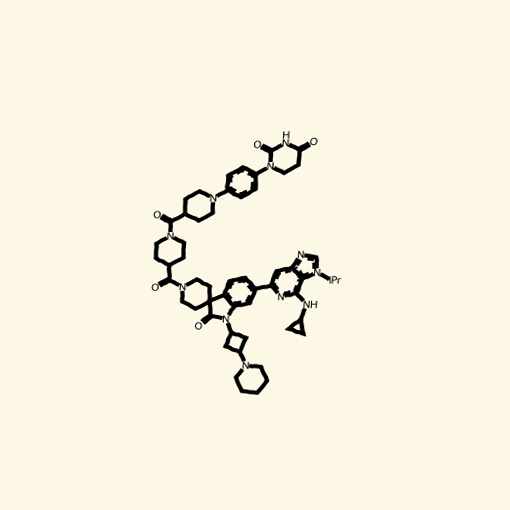 CC(C)n1cnc2cc(-c3ccc4c(c3)N(C3CC(N5CCCCC5)C3)C(=O)C43CCN(C(=O)C4CCN(C(=O)C5CCN(c6ccc(N7CCC(=O)NC7=O)cc6)CC5)CC4)CC3)nc(NC3CC3)c21